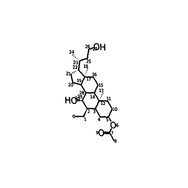 CC[C@@H]1C2C[C@H](OC(C)=O)CC[C@]2(C)C2CC[C@@]3(C)C(CC[C@@H]3[C@H](C)CCO)C2[C@@H]1O